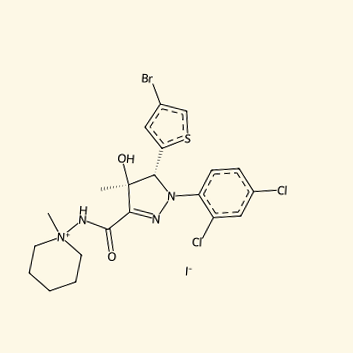 C[C@@]1(O)C(C(=O)N[N+]2(C)CCCCC2)=NN(c2ccc(Cl)cc2Cl)[C@H]1c1cc(Br)cs1.[I-]